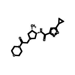 C[C@H]1CN(CC(=O)N2CCOCC2)C[C@H]1NC(=O)c1cc(C2CC2)on1